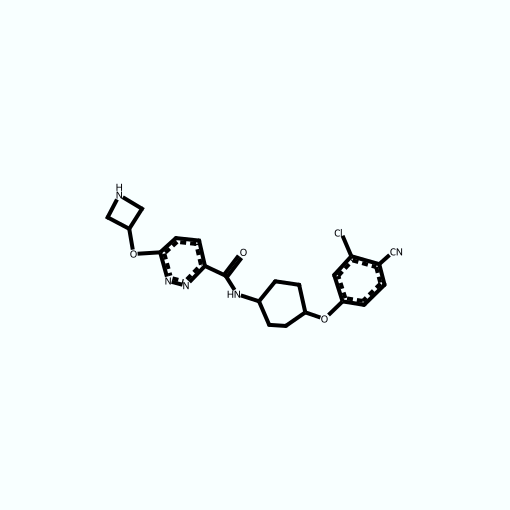 N#Cc1ccc(OC2CCC(NC(=O)c3ccc(OC4CNC4)nn3)CC2)cc1Cl